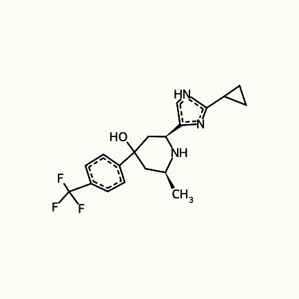 C[C@H]1CC(O)(c2ccc(C(F)(F)F)cc2)C[C@@H](c2c[nH]c(C3CC3)n2)N1